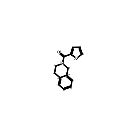 O=C(c1ccco1)N1CCc2ccccc2C1